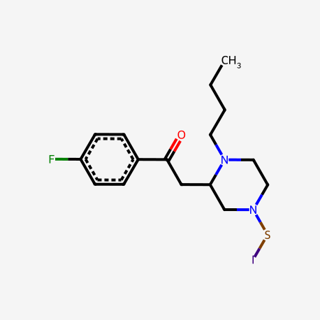 CCCCN1CCN(SI)CC1CC(=O)c1ccc(F)cc1